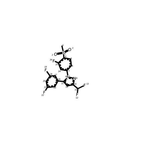 CS(=O)(=O)c1ccc(-n2nc(C(F)F)cc2-c2cc(F)cc(F)c2)cc1F